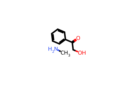 CN.O=C(CO)c1ccccc1